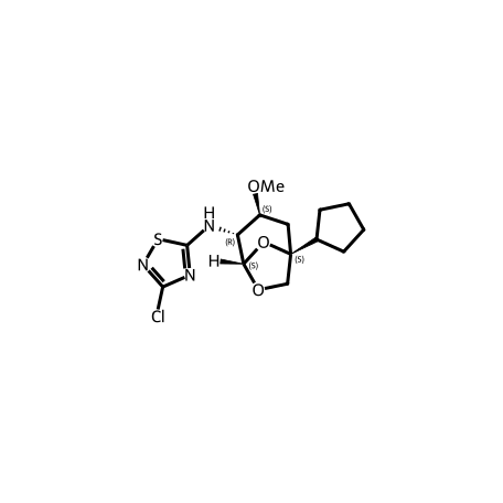 CO[C@H]1C[C@]2(C3CCCC3)CO[C@@H](O2)[C@@H]1Nc1nc(Cl)ns1